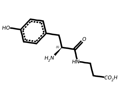 N[C@@H](Cc1ccc(O)cc1)C(=O)NCCC(=O)O